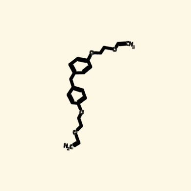 C=COCCOc1ccc(Cc2ccc(OCCOC=C)cc2)cc1